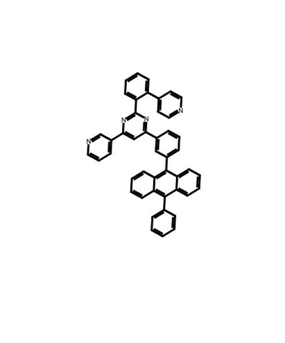 c1ccc(-c2c3ccccc3c(-c3cccc(-c4cc(-c5cccnc5)nc(-c5ccccc5-c5ccncc5)n4)c3)c3ccccc23)cc1